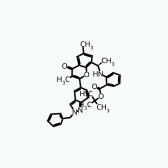 Cc1cc([C@@H](C)Nc2ccccc2C(=O)OC(C)(C)C)c2oc(-c3ccc4nn(Cc5ccccc5)cc4c3)c(C)c(=O)c2c1